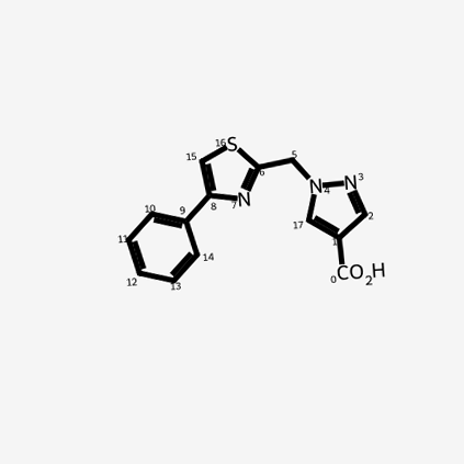 O=C(O)c1cnn(Cc2nc(-c3ccccc3)cs2)c1